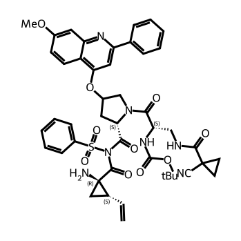 C=C[C@@H]1C[C@]1(N)C(=O)N(C(=O)[C@@H]1CC(Oc2cc(-c3ccccc3)nc3cc(OC)ccc23)CN1C(=O)[C@H](CNC(=O)C1(C#N)CC1)NC(=O)OC(C)(C)C)S(=O)(=O)c1ccccc1